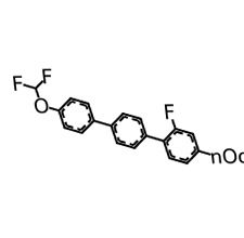 CCCCCCCCc1ccc(-c2ccc(-c3ccc(OC(F)F)cc3)cc2)c(F)c1